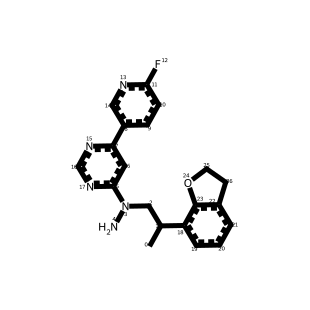 CC(CN(N)c1cc(-c2ccc(F)nc2)ncn1)c1cccc2c1OCC2